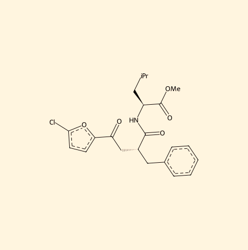 COC(=O)[C@H](CC(C)C)NC(=O)[C@@H](CC(=O)c1ccc(Cl)o1)Cc1ccccc1